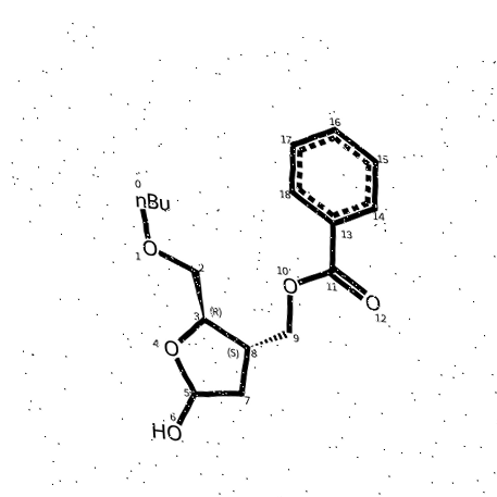 CCCCOC[C@@H]1OC(O)C[C@H]1COC(=O)c1ccccc1